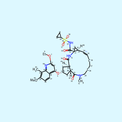 CCOc1cc(O[C@@H]2C[C@H]3C(=O)N[C@]4(C(=O)NS(=O)(=O)C5CC5)C[C@H]4/C=C\CCCCN(C)C(=O)[C@@H]3C2)c2ccc(OC)c(C)c2n1